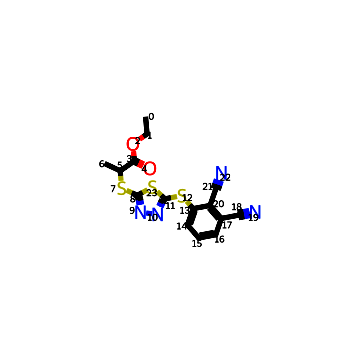 CCOC(=O)C(C)Sc1nnc(Sc2cccc(C#N)c2C#N)s1